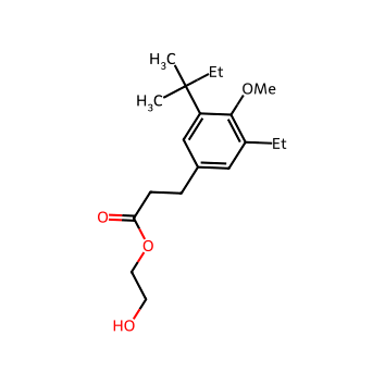 CCc1cc(CCC(=O)OCCO)cc(C(C)(C)CC)c1OC